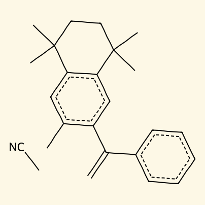 C=C(c1ccccc1)c1cc2c(cc1C)C(C)(C)CCC2(C)C.CC#N